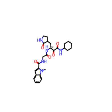 Cn1c(C(=O)NCC(=O)N[C@@H](CC2CCNC2=O)C(=O)C(=O)NC2CCCCC2)cc2ccccc21